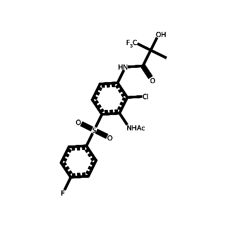 CC(=O)Nc1c(S(=O)(=O)c2ccc(F)cc2)ccc(NC(=O)C(C)(O)C(F)(F)F)c1Cl